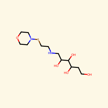 OCCC(O)C(O)C(O)CNCCSN1CCOCC1